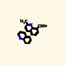 COc1cccc2ccc(C)nc12.c1ccc2ncccc2c1